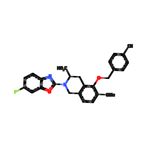 COc1ccc2c(c1OCc1ccc(C#N)cc1)CC(C(=O)O)N(c1nc3ccc(F)cc3o1)C2